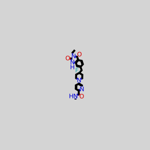 CCn1c(=O)[nH]c2cc(CC3(F)CCN(c4ccc(C(=O)NC)nc4)CC3)ccc2c1=O